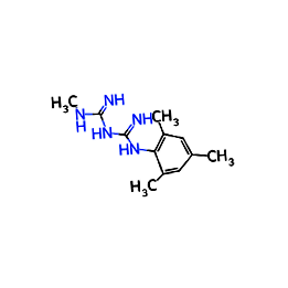 CNC(=N)NC(=N)Nc1c(C)cc(C)cc1C